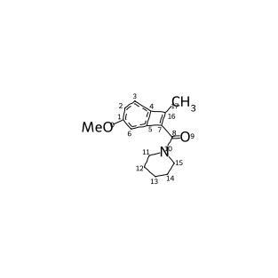 COc1ccc2c(c1)C(C(=O)N1CCCCC1)=C2C